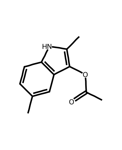 CC(=O)Oc1c(C)[nH]c2ccc(C)cc12